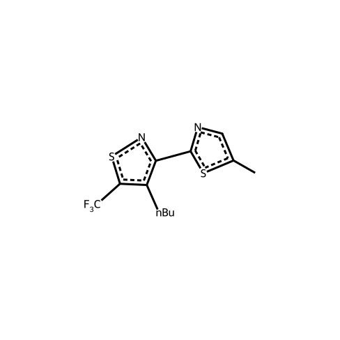 CCCCc1c(-c2ncc(C)s2)nsc1C(F)(F)F